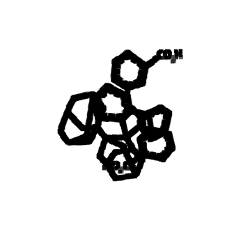 O=C(O)c1cccc(Oc2ccccc2C2(c3ccccc3Oc3cccc(C(=O)O)c3)C3CC4CC(C3)CC2(C23CC5CC(CC(C5)C2)C3)C4)c1